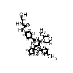 Cc1csc(S(=O)(=O)C2(c3cc(N4CCOC[C@@H]4C)nc(-c4ccc(NC(=O)NCCO)cc4)n3)CCCC2)n1